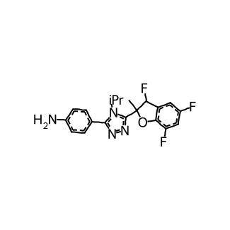 CC(C)n1c(-c2ccc(N)cc2)nnc1C1(C)Oc2c(F)cc(F)cc2C1F